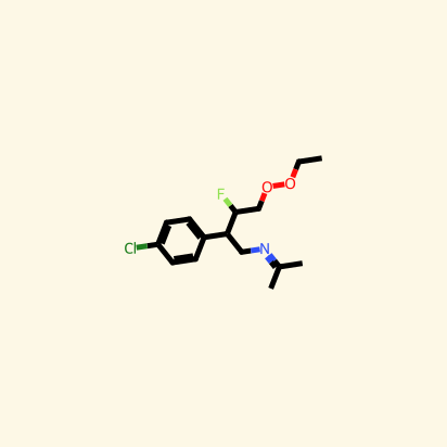 CCOOCC(F)C(CN=C(C)C)c1ccc(Cl)cc1